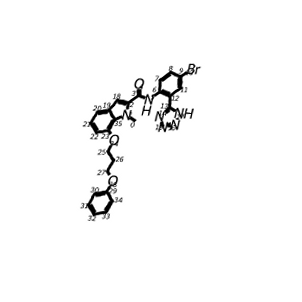 Cn1c(C(=O)Nc2ccc(Br)cc2-c2nnn[nH]2)cc2cccc(OCCCOc3ccccc3)c21